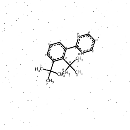 CC(C)(C)c1cccc(-c2ncccn2)c1C(C)(C)C